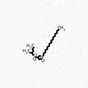 CCCCCCCCC=CCCCCCCCCN1CC(C(=O)OCC(CC)CCCC)CC1=O